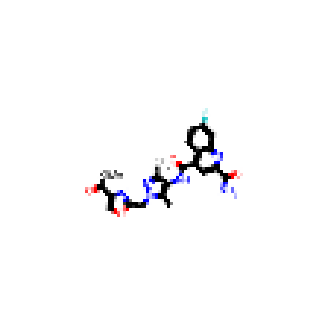 COC(=O)c1coc(Cn2nc(C(F)(F)F)c(NC(=O)c3cc(C(N)=O)nc4cc(F)ccc34)c2C)n1